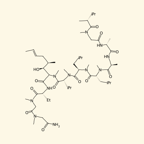 C/C=C/C[C@@H](C)[C@H](O)C(C(=O)N[C@H](CC)C(=O)N(C)CC(=O)N(C)CC(N)=O)N(C)C(=O)[C@@H](C(C)C)N(C)C(=O)[C@@H](CC(C)C)N(C)C(=O)[C@@H](CC(C)C)N(C)C(=O)[C@H](C)NC(=O)[C@@H](C)NC(=O)CN(C)C(=O)[C@H](C)C(C)C